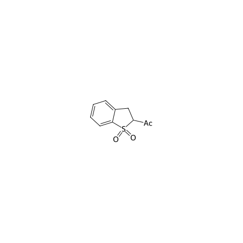 CC(=O)C1Cc2ccccc2S1(=O)=O